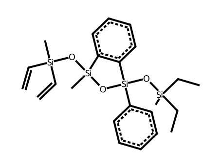 C=C[Si](C)(C=C)O[Si](C)(C)O[Si](O[Si](C)(CC)CC)(c1ccccc1)c1ccccc1